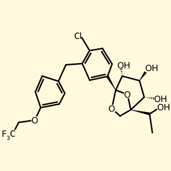 CC(O)[C@@]12CO[C@@](c3ccc(Cl)c(Cc4ccc(OCC(F)(F)F)cc4)c3)(O1)[C@H](O)[C@@H](O)[C@@H]2O